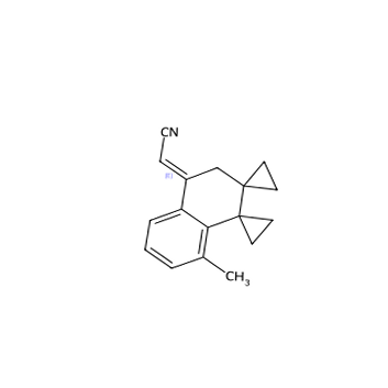 Cc1cccc2c1C1(CC1)C1(CC1)C/C2=C\C#N